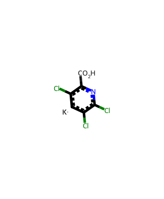 O=C(O)c1nc(Cl)c(Cl)cc1Cl.[K]